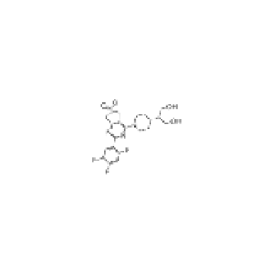 O=S1(=O)Cc2nc(-c3cc(F)c(F)cc3F)nc(N3CCC(C(CO)CO)CC3)c2C1